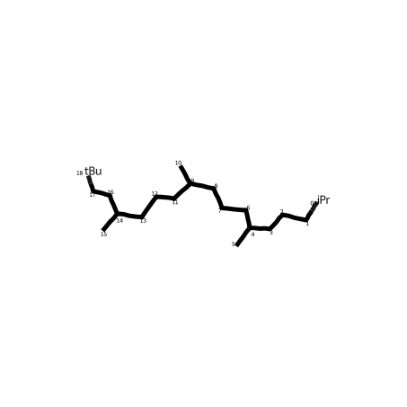 CC(C)CCCC(C)CCCC(C)CCCC(C)CCC(C)(C)C